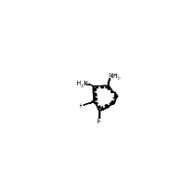 Nc1ccc(F)c(F)c1N